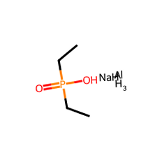 CCP(=O)(O)CC.[AlH3].[NaH]